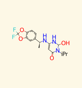 CC(C)N1C(=O)C=C(N[C@@H](C)c2ccc3c(c2)OC(F)(F)O3)NC1O